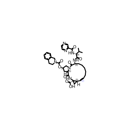 CC(C)[C@@H](NC(=O)c1cnccn1)C(=O)N[C@H]1CCCCC/C=C\[C@@H]2C[C@@]2(C(=O)O)NC(=O)[C@@H]2C[C@@H](OC(=O)N3CCc4ccccc4C3)CN2C1=O